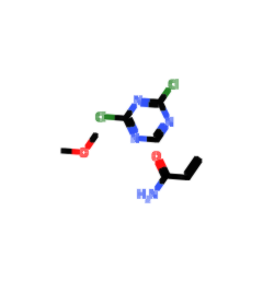 C=CC(N)=O.COC.Clc1ncnc(Cl)n1